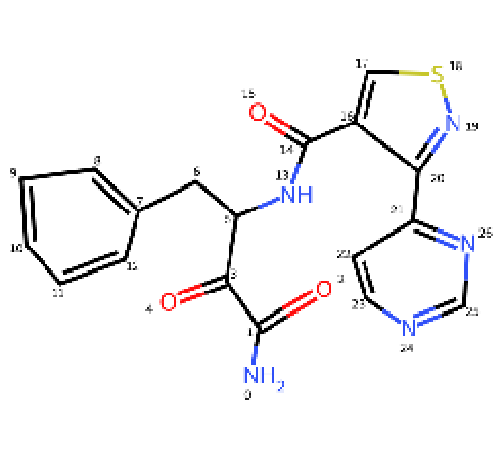 NC(=O)C(=O)C(Cc1ccccc1)NC(=O)c1csnc1-c1ccncn1